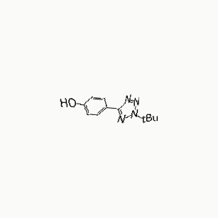 CC(C)(C)n1nnc(-c2ccc(O)cc2)n1